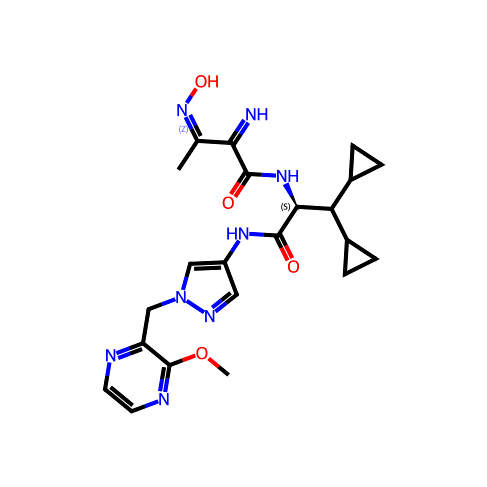 COc1nccnc1Cn1cc(NC(=O)[C@@H](NC(=O)C(=N)/C(C)=N\O)C(C2CC2)C2CC2)cn1